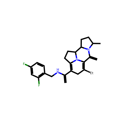 C=C(NCc1ccc(F)cc1F)C1=C2CCC3C4CCC(C)N4C(=C)C(=C(CC)C1)N23